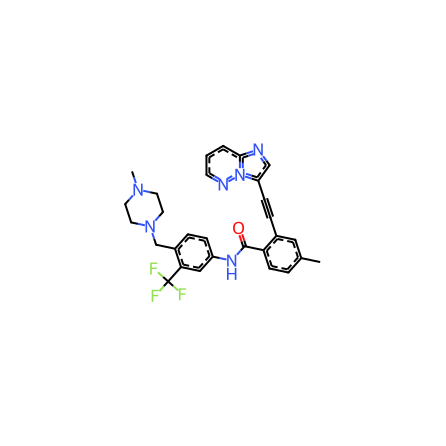 Cc1ccc(C(=O)Nc2ccc(CN3CCN(C)CC3)c(C(F)(F)F)c2)c(C#Cc2cnc3cccnn23)c1